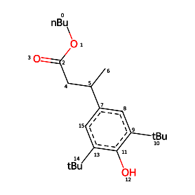 CCCCOC(=O)CC(C)c1cc(C(C)(C)C)c(O)c(C(C)(C)C)c1